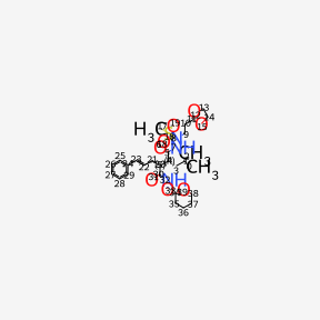 CC(C)C[C@@H](C(=O)NN(CCC1OCCO1)S(C)(=O)=O)[C@H](CC=Cc1ccccc1)C(=O)NOC1CCCCO1